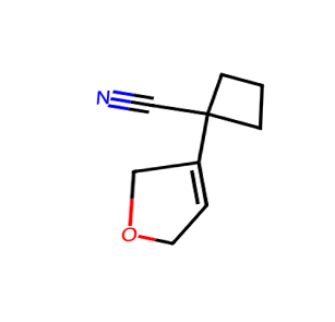 N#CC1(C2=CCOC2)CCC1